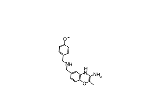 COc1ccc(CNCc2ccc3c(c2)NC(N)=C(C)O3)cc1